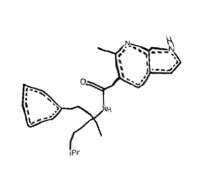 Cc1nc2[nH]ccc2cc1C(=O)NC(C)(Cc1ccccc1)CC(C)C